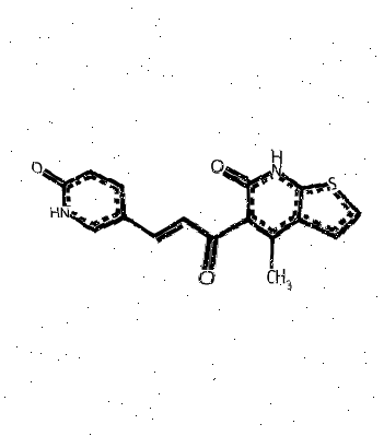 Cc1c(C(=O)/C=C/c2ccc(=O)[nH]c2)c(=O)[nH]c2sccc12